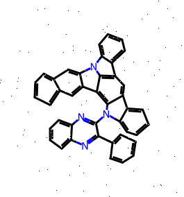 c1ccc(-c2nc3ccccc3nc2-n2c3ccccc3c3cc4c5ccccc5n5c6cc7ccccc7cc6c(c32)c45)cc1